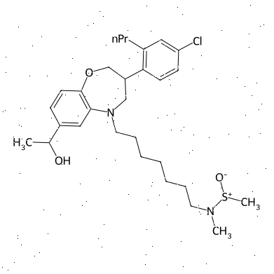 CCCc1cc(Cl)ccc1C1COc2ccc(C(C)O)cc2N(CCCCCCCN(C)[S+](C)[O-])C1